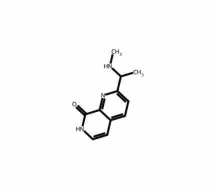 CNC(C)c1ccc2cc[nH]c(=O)c2n1